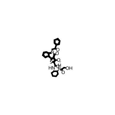 COc1c(C(=O)N[C@H]2CCCC[C@@H]2NC(=O)CO)sc2c1c(=O)n(CC(=O)c1ccccc1)c1ccccc21